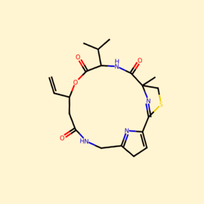 C=CC1CC(=O)NCC2=NC(=CC2)C2=NC(C)(CS2)C(=O)NC(C(C)C)C(=O)O1